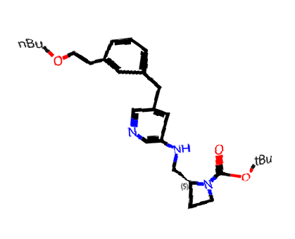 CCCCOCCc1cccc(Cc2cncc(NC[C@@H]3CCN3C(=O)OC(C)(C)C)c2)c1